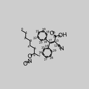 CCCCCCC(C)ON=O.N#CC(C(=O)O)=C(c1ccccc1)c1ccccc1